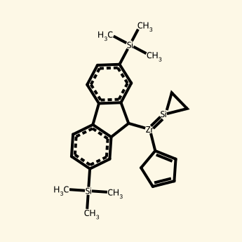 C[Si](C)(C)c1ccc2c(c1)[CH]([Zr]([C]1=CC=CC1)=[Si]1CC1)c1cc([Si](C)(C)C)ccc1-2